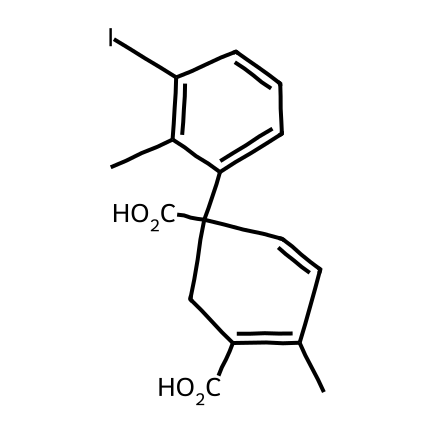 CC1=C(C(=O)O)CC(C(=O)O)(c2cccc(I)c2C)C=C1